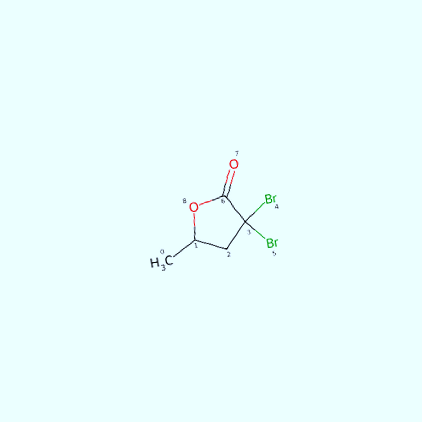 CC1CC(Br)(Br)C(=O)O1